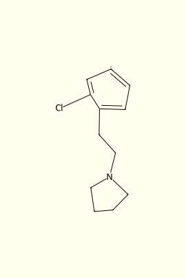 Clc1c[c]ccc1CCN1CCCC1